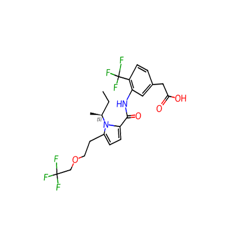 CC[C@H](C)n1c(CCOCC(F)(F)F)ccc1C(=O)Nc1cc(CC(=O)O)ccc1C(F)(F)F